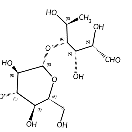 C[C@H](O)[C@@H](O[C@@H]1O[C@H](CO)[C@@H](O)[C@H](O)[C@H]1O)[C@@H](O)[C@H](O)C=O